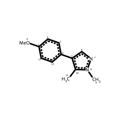 COc1ccc(-c2cnn(C)c2C)cc1